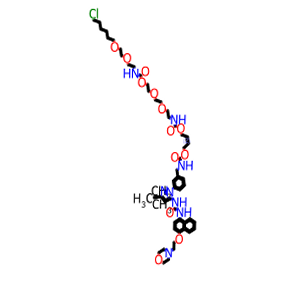 CC(C)(C)c1cc(NC(=O)Nc2ccc(OCCN3CCOCC3)c3ccccc23)n(-c2cccc(CNC(=O)OC/C=C\COC(=O)NCCOCCOCCOC(=O)NCCOCCOCCCCCCCl)c2)n1